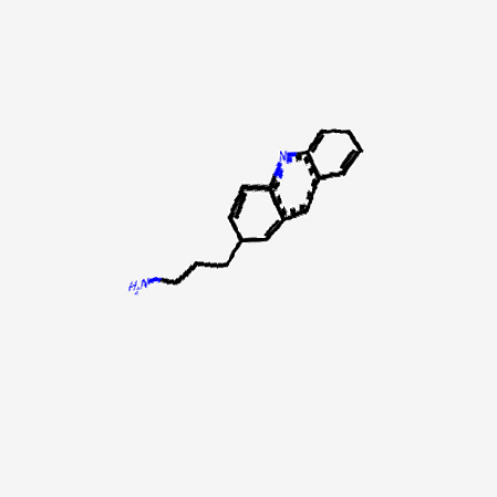 NCCCC1C=Cc2nc3c(cc2=C1)C=CCC=3